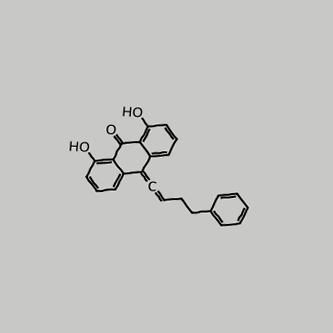 O=C1c2c(O)cccc2C(=C=CCCc2ccccc2)c2cccc(O)c21